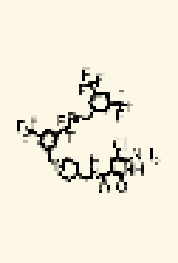 FC(F)(F)c1cc(CBr)cc(C(F)(F)F)c1.Nc1[nH]c(=O)c(C(=O)NCC2CCN(Cc3cc(C(F)(F)F)cc(C(F)(F)F)c3)CC2)cc1Cl